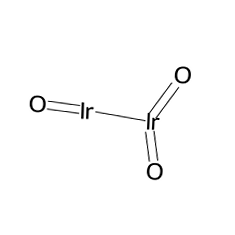 [O]=[Ir][Ir](=[O])=[O]